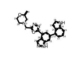 C=C1CN(Cc2nnc(-c3cc(-c4cccc5[nH]ccc45)cc4[nH]ncc34)o2)CCO1